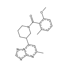 COc1cccc(C)c1C(=O)N1CCCC(c2cc(C)nc3ncnn23)C1